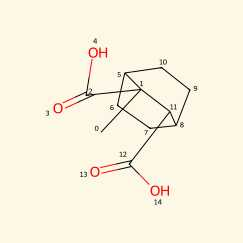 CC1(C(=O)O)C2CCC(CC2)C1C(=O)O